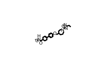 CCc1noc(N2CCCC(COc3ccc(C4=CCC(C(=O)NOC)CC4)cc3)CC2)n1